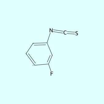 Fc1[c]ccc(N=C=S)c1